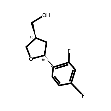 OC[C@@H]1CO[C@@H](c2ccc(F)cc2F)C1